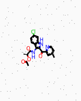 CC(=O)O[C@@H](C)C(=O)Nc1c(C(=O)c2cc(C)ccn2)[nH]c2cc(Cl)ccc12